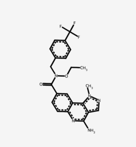 CCON(Cc1ccc(C(F)(F)F)cc1)C(=O)c1ccc2nc(N)c3cnn(C)c3c2c1